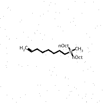 C=CCCCCCC[Si](C)(CCCCCCCC)CCCCCCCC